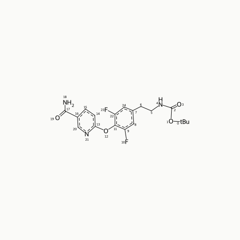 CC(C)(C)OC(=O)NCCc1cc(F)c(Oc2ccc(C(N)=O)cn2)c(F)c1